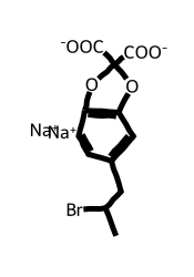 CC(Br)Cc1ccc2c(c1)OC(C(=O)[O-])(C(=O)[O-])O2.[Na+].[Na+]